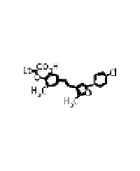 CCC(Oc1ccc(C=Cc2cc(-c3ccc(Cl)cc3)oc2C)cc1C)C(=O)O